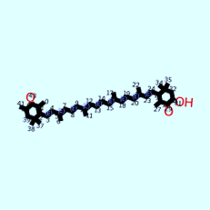 CC1=C(/C=C/C(C)=C/C=C/C(C)=C/C=C/C=C(C)/C=C/C=C(C)/C=C/C2C(C)C(=O)[C@@H](O)CC2(C)C)C(C)(C)CC(C)C1=O